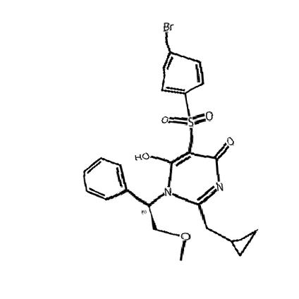 COC[C@@H](c1ccccc1)n1c(CC2CC2)nc(=O)c(S(=O)(=O)c2ccc(Br)cc2)c1O